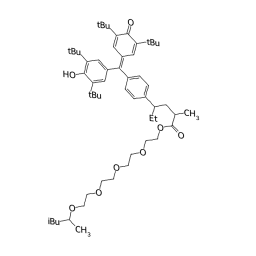 CCC(CC(C)C(=O)OCCOCCOCCOCCOC(C)C(C)CC)c1ccc(C(=C2C=C(C(C)(C)C)C(=O)C(C(C)(C)C)=C2)c2cc(C(C)(C)C)c(O)c(C(C)(C)C)c2)cc1